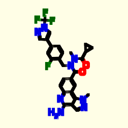 CN(C(=O)C1CC1)N(Cc1ccc(-c2cnn(C(F)(F)F)c2)cc1F)C(=O)c1ccc2nc(N)c3cnn(C)c3c2c1